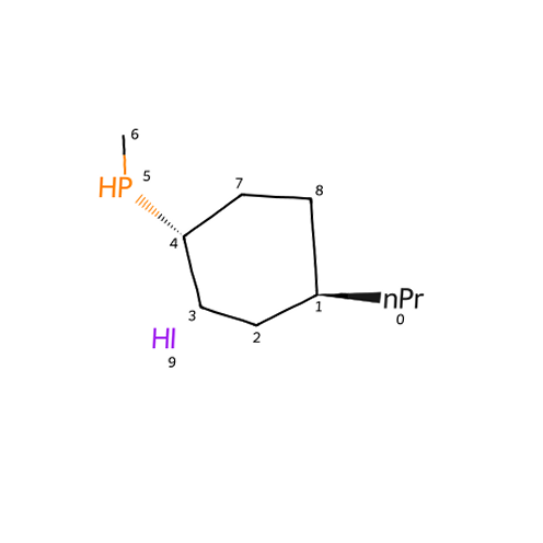 CCC[C@H]1CC[C@H](PC)CC1.I